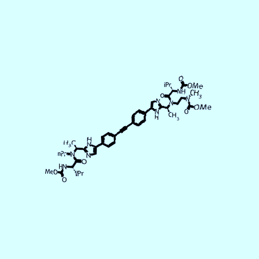 CCCN(C(=O)[C@@H](NC(=O)OC)C(C)C)[C@@H](C)c1ncc(-c2ccc(C#Cc3ccc(-c4cnc([C@H](C)N(CCN(C)C(=O)OC)C(=O)[C@@H](NC(=O)OC)C(C)C)[nH]4)cc3)cc2)[nH]1